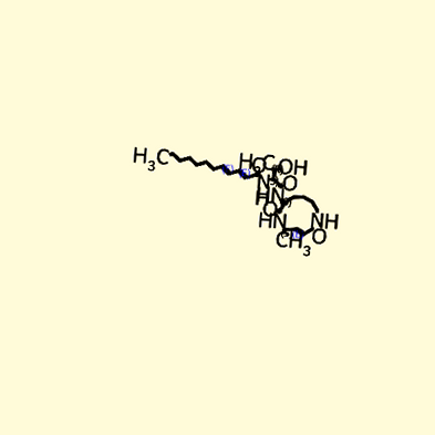 CCCCCCC/C=C/C=C/C(=O)N[C@H](C(=O)N[C@H]1CCCCNC(=O)/C=C/[C@H](C)NC1=O)[C@@H](C)O